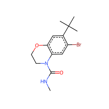 CNC(=O)N1CCOc2cc(C(C)(C)C)c(Br)cc21